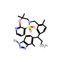 CCn1nnc2c(C)c(C(CC(=O)O)c3ccc(C)c(CN4CC(C)(C)Oc5ncccc5S4(=O)=O)c3)ccc21